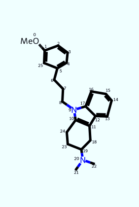 COc1cccc(CCCn2c3c(c4ccccc42)CC(N(C)C)CC3)c1